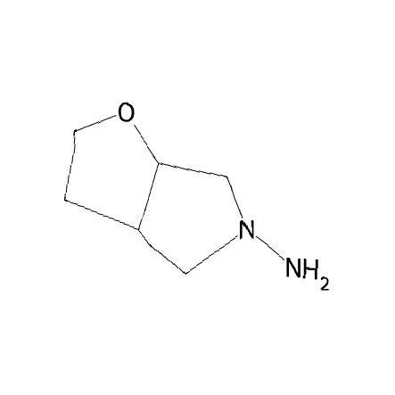 NN1CC2CCOC2C1